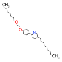 CCCCCCCCCc1ccc(-c2ccc(OCCOCCCCCCCC)cc2)nc1